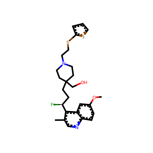 COc1ccc2ncc(C)c([C@@H](F)CCC3(CO)CCN(CCSc4cccs4)CC3)c2c1